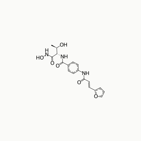 C[C@@H](O)[C@H](NC(=O)c1ccc(NC(=O)/C=C/c2ccco2)cc1)C(=O)NO